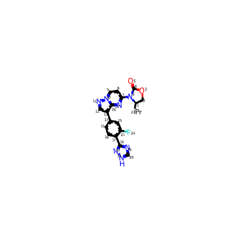 CC(C)C1COC(=O)N1c1ccn2ncc(-c3ccc(-c4nc[nH]n4)c(F)c3)c2n1